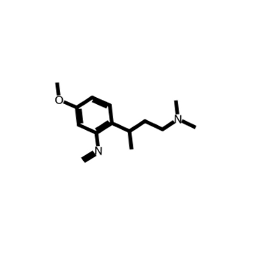 C=Nc1cc(OC)ccc1C(C)CCN(C)C